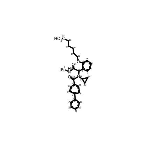 CC(C)(C)NC(=O)C(c1ccccc1OCCCCCC(=O)O)N(C(=O)c1ccc(-c2ccccc2)cc1)C1CC1